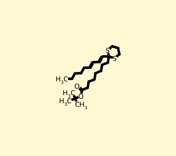 CCCCC/C=C/C=C/C1(CCCCCCCC(=O)OC(C)(C)C)SCCCS1